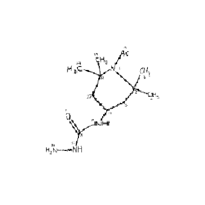 CC(=O)N1C(C)(C)CC(NC(=O)NN)CC1(C)C